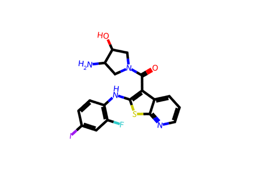 NC1CN(C(=O)c2c(Nc3ccc(I)cc3F)sc3ncccc23)CC1O